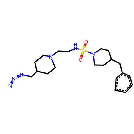 [N-]=[N+]=NCC1CCN(CCNS(=O)(=O)N2CCC(Cc3ccccc3)CC2)CC1